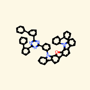 c1ccc(-c2cccc(-c3nc(-c4cccc(-n5c6ccccc6c6ccc7c8ccc9c%10ccccc%10n(-c%10ccccc%10-c%10ccccc%10)c9c8oc7c65)c4)nc(-c4ccccc4-c4ccccc4)n3)c2)cc1